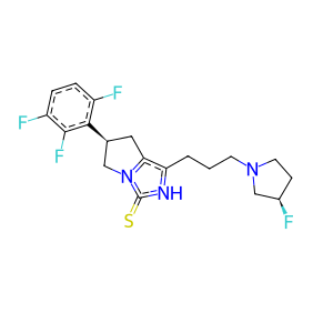 Fc1ccc(F)c([C@H]2Cc3c(CCCN4CC[C@@H](F)C4)[nH]c(=S)n3C2)c1F